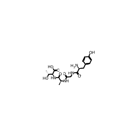 C[C@H](NC(=O)CNC(=O)[C@@H](N)Cc1ccc(O)cc1)C(=O)N[C@H](C(=O)O)[C@@H](C)O